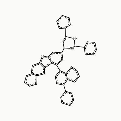 c1ccc(C2=NC(c3cc(-c4ccc(-c5ccccc5)c5ccccc45)c4c(c3)oc3cc5ccccc5cc34)NC(c3ccccc3)N2)cc1